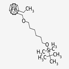 CC[C]12[CH]3[CH]4[CH]5[CH]1[Fe]45321678[CH]2[CH]1[CH]6[C]7(COCCCCCCO[Si](C)(C)C(C)(C)C)[CH]28